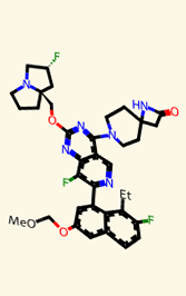 CCc1c(F)ccc2cc(OCOC)cc(-c3ncc4c(N5CCC6(CC5)CC(=O)N6)nc(OC[C@@]56CCCN5C[C@H](F)C6)nc4c3F)c12